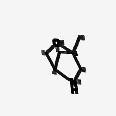 [CH2]C12CNC(CO1)C2